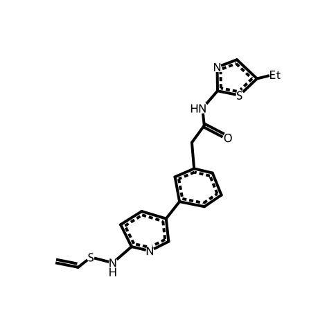 C=CSNc1ccc(-c2cccc(CC(=O)Nc3ncc(CC)s3)c2)cn1